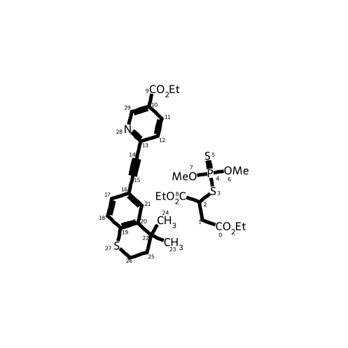 CCOC(=O)CC(SP(=S)(OC)OC)C(=O)OCC.CCOC(=O)c1ccc(C#Cc2ccc3c(c2)C(C)(C)CCS3)nc1